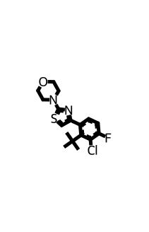 CC(C)(C)c1c(-c2csc(N3CCOCC3)n2)ccc(F)c1Cl